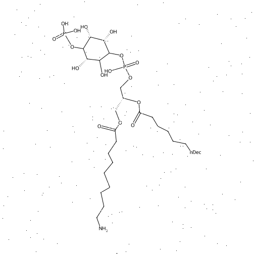 CCCCCCCCCCCCCCCC(=O)O[C@H](COC(=O)CCCCCCCCN)COP(=O)(O)OC1C(O)[C@H](O)C(OP(=O)(O)O)[C@H](O)[C@@H]1O